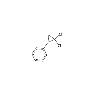 ClC1(Cl)CC1c1cc[c]cc1